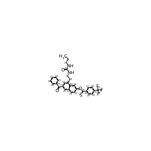 CCCNC(=O)NCCc1cc(C(=O)c2ccccc2)cc2ccc(OC(=S)c3ccc(C(F)(F)F)cc3)cc12